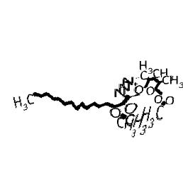 CCCCCCCCCCCCCCC1OC(C)(C)O[C@H]1[C@H](CO[C@H]1OC(COC(C)=O)[C@H](C)[C@H](C)C1C)N=[N+]=[N-]